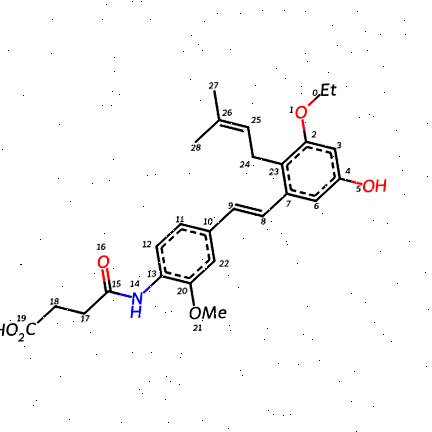 CCOc1cc(O)cc(/C=C/c2ccc(NC(=O)CCC(=O)O)c(OC)c2)c1CC=C(C)C